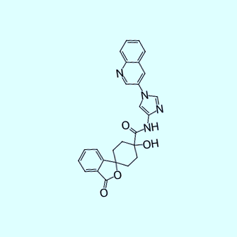 O=C1OC2(CCC(O)(C(=O)Nc3cn(-c4cnc5ccccc5c4)cn3)CC2)c2ccccc21